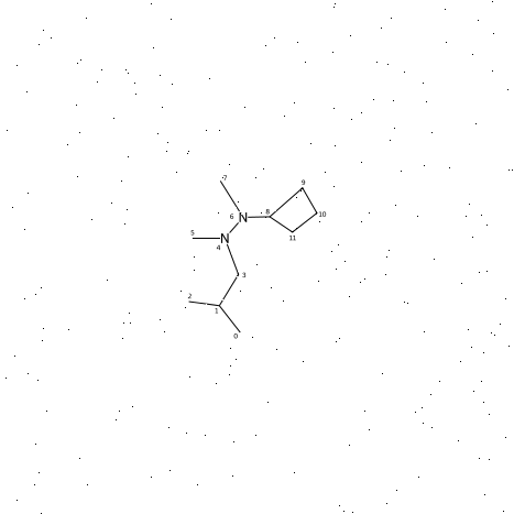 CC(C)CN(C)N(C)C1CCC1